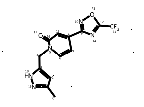 Cc1cc(Cn2ccc(-c3noc(C(F)(F)F)n3)cc2=O)[nH]n1